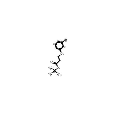 CC(C)(C)OC(=O)CCOc1cccc(Br)c1